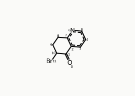 O=C1c2cccnc2CCC1Br